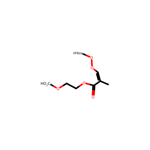 CCCCCCOOC=C(C)C(=O)OCCOC(=O)O